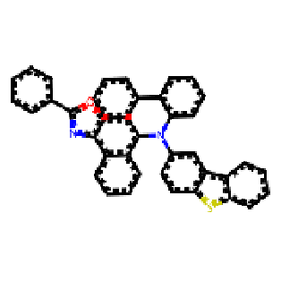 c1ccc(-c2nc3c(cc(N(c4ccc5sc6ccccc6c5c4)c4ccccc4-c4ccccc4)c4ccccc43)o2)cc1